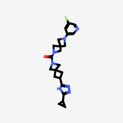 O=C(N1CC2(CC(c3nnc(C4CC4)[nH]3)C2)C1)N1CC2(C1)CN(c1cncc(F)c1)C2